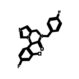 O=C1C(c2ccc(F)cc2Cl)n2cncc2CN1Cc1ccc(F)cc1